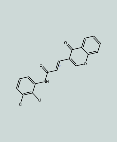 O=C(/C=C/c1coc2ccccc2c1=O)Nc1cccc(Cl)c1Cl